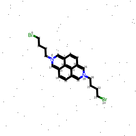 BrCCCCN1C=c2ccc3c4c(ccc(c24)=C1)=CN(CCCCBr)C=3